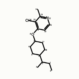 CCC(C)C1CCC(Oc2ccnc(C)c2Cl)CC1